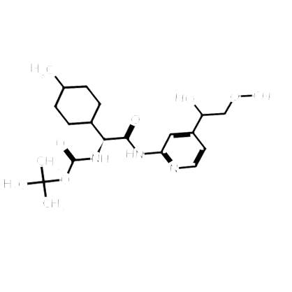 COCC(O)c1ccnc(NC(=O)[C@@H](NC(=O)OC(C)(C)C)C2CCC(C)CC2)c1